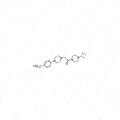 O=C(O)c1ccc(N2CCN(CC(=O)N3CCN(C4CCC4)CC3)CC2)cc1